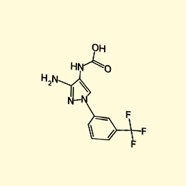 Nc1nn(-c2cccc(C(F)(F)F)c2)cc1NC(=O)O